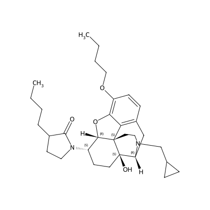 CCCCOc1ccc2c3c1O[C@H]1[C@@H](N4CCC(CCCC)C4=O)CC[C@@]4(O)[C@@H](C2)N(CC2CC2)CC[C@]314